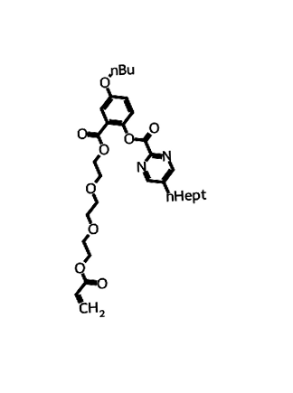 C=CC(=O)OCCOCCOCCOC(=O)c1cc(OCCCC)ccc1OC(=O)c1ncc(CCCCCCC)cn1